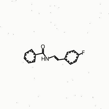 O=C(NC=Cc1ccc(F)cc1)c1ccccc1